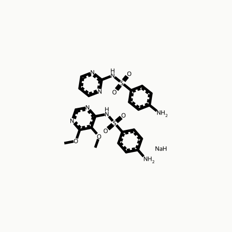 COc1ncnc(NS(=O)(=O)c2ccc(N)cc2)c1OC.Nc1ccc(S(=O)(=O)Nc2ncccn2)cc1.[NaH]